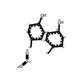 Cc1ccc(O)cc1.Cc1ccc(O)cc1.O=S=O